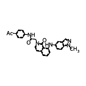 CC(=O)c1ccc(NC(=O)Cn2ccc3cccc(Nc4ccc5c(cnn5C)c4)c3c2=O)cc1